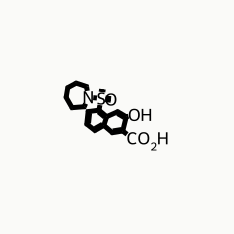 C=S(=O)(c1cccc2cc(C(=O)O)c(O)cc12)N1CCCCCC1